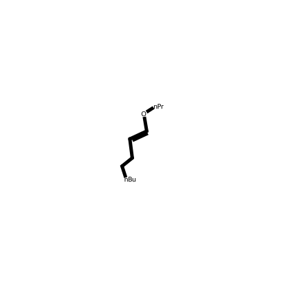 CCCCCC/C=C/OCCC